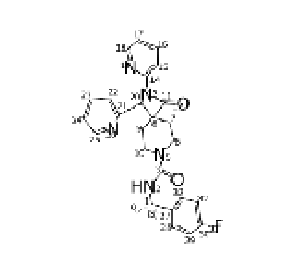 C[C@H](NC(=O)N1CCC2(CC1)C(=O)N(c1ccccn1)C2c1ccccn1)c1ccc(F)cc1